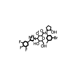 COC1C(C(=O)N(c2cc(C)cc(Br)c2)[C@H]2CCC[C@@H]2O)OC(CO)C(O)C1n1cc(-c2cc(F)c(F)c(F)c2)nn1